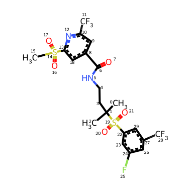 CC(C)(CCNC(=O)c1cc(C(F)(F)F)nc(S(C)(=O)=O)c1)S(=O)(=O)c1cc(F)cc(C(F)(F)F)c1